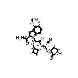 COc1cccc2c1cc(C(N)=O)n2[C@@H](CC1CCC1)C(=O)N[C@H](C#N)C[C@@H]1CCNC1=O